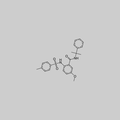 COc1ccc(NS(=O)(=O)c2ccc(C)cc2)c(C(=O)NC(C)(C)c2ccccc2)c1